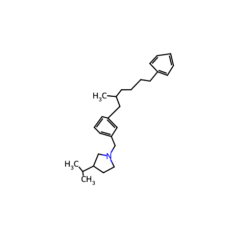 CC(CCCCc1ccccc1)Cc1cccc(CN2CCC(C(C)C)C2)c1